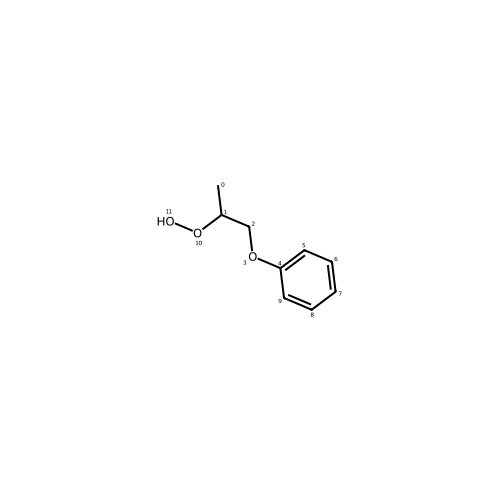 CC(COc1ccccc1)OO